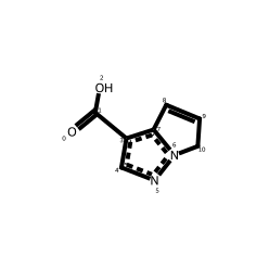 O=C(O)c1cnn2c1C=CC2